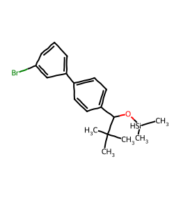 C[SiH](C)OC(c1ccc(-c2cccc(Br)c2)cc1)C(C)(C)C